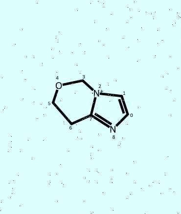 C1=C[N+]2COCCC2=N1